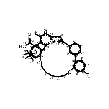 Cc1ccc2c(c1)OCCCCCOc1cc(F)ccc1-c1cccc(c1)-c1cc3nc(C)c([C@H](OC(C)(C)C)C(=O)O)c-2n3n1